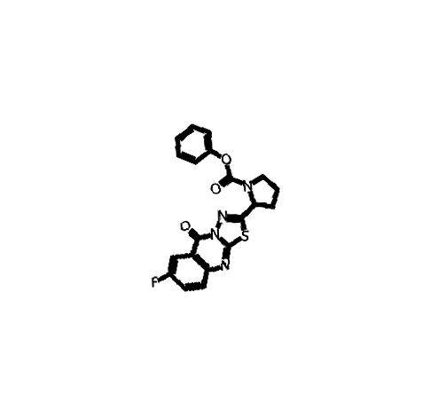 O=C(Oc1ccccc1)N1CCCC1c1nn2c(=O)c3cc(F)ccc3nc2s1